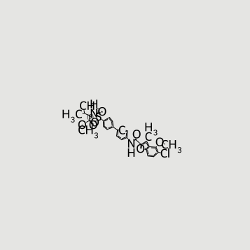 COC(=O)[C@@H](NS(=O)(=O)c1ccc(-c2ccc(NC(=O)c3oc4ccc(Cl)c(OC)c4c3C)cc2)cc1)C(C)C